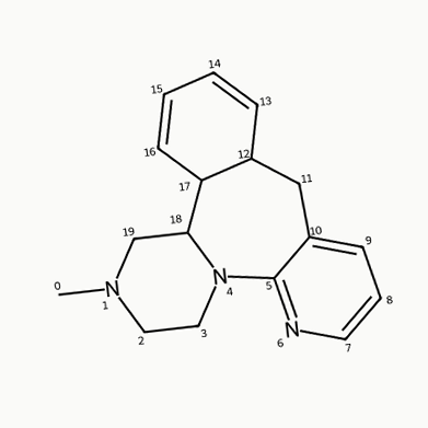 CN1CCN2c3ncccc3CC3C=CC=CC3C2C1